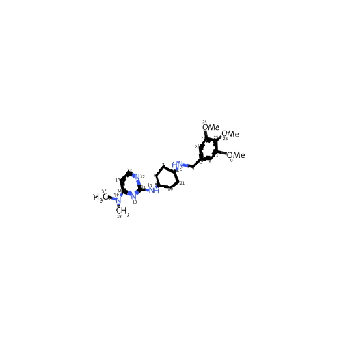 COc1cc(CNC2CCC(Nc3nccc(N(C)C)n3)CC2)cc(OC)c1OC